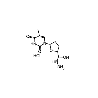 Cc1cn([C@H]2CC[C@@H](C(O)NN)O2)c(=O)[nH]c1=O.Cl